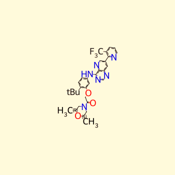 C[C@@H]1CN(C(=O)COc2cc(Nc3ncnc4cc(-c5ncccc5C(F)(F)F)cnc34)ccc2C(C)(C)C)C[C@H](C)O1